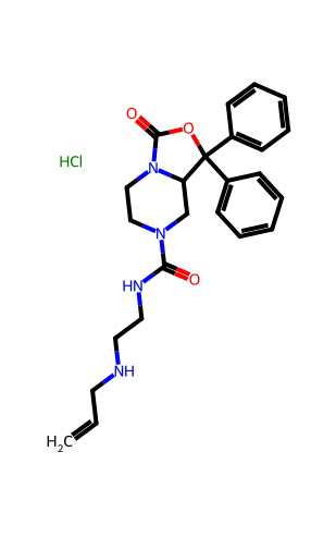 C=CCNCCNC(=O)N1CCN2C(=O)OC(c3ccccc3)(c3ccccc3)C2C1.Cl